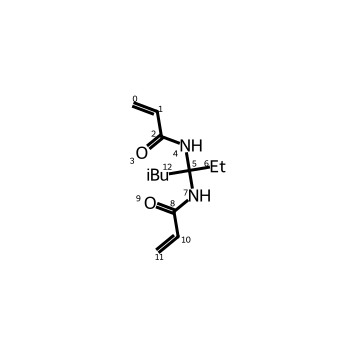 C=CC(=O)NC(CC)(NC(=O)C=C)C(C)CC